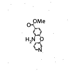 COC(=O)c1ccc(Oc2cccnc2)c(N)c1